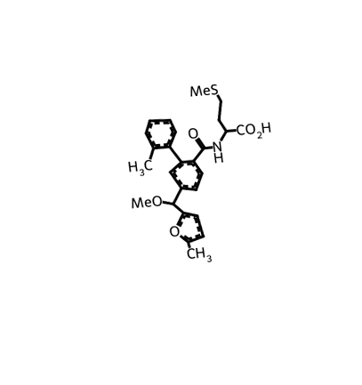 COC(c1ccc(C(=O)NC(CCSC)C(=O)O)c(-c2ccccc2C)c1)c1ccc(C)o1